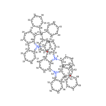 c1ccc(-c2cccc(-n3c4cccc(-n5c6ccccc6c6cccc([Si](c7ccccc7)(c7ccccc7)c7ccccc7)c65)c4c4cccc(-n5c6ccccc6c6ccccc65)c43)c2)cc1